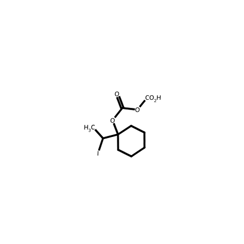 CC(I)C1(OC(=O)OC(=O)O)CCCCC1